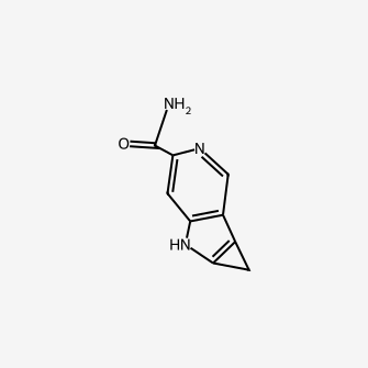 NC(=O)c1cc2[nH]c3c(c2cn1)C3